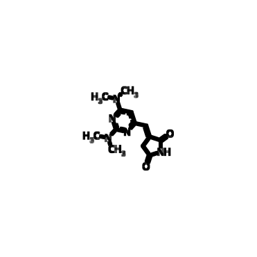 CN(C)c1cc(/C=C2\CC(=O)NC2=O)nc(N(C)C)n1